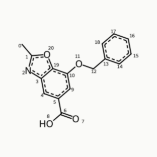 Cc1nc2cc(C(=O)O)cc(OCc3ccccc3)c2o1